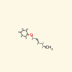 C=CCC=CCOc1ccccc1